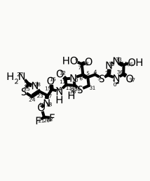 Cn1c(SCC2=C(C(=O)O)N3C(=O)C(NC(=O)C(=NOC(F)F)c4csc(N)n4)[C@@H]3SC2)nnc(O)c1=O